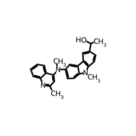 Cc1cc(N(C)c2ccc3c(c2)c2cc(C(C)O)ccc2n3C)c2ccccc2n1